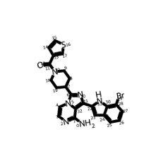 Nc1nccn2c(C3CCN(C(=O)c4ccsc4)CC3)nc(-c3cc4cccc(Br)c4[nH]3)c12